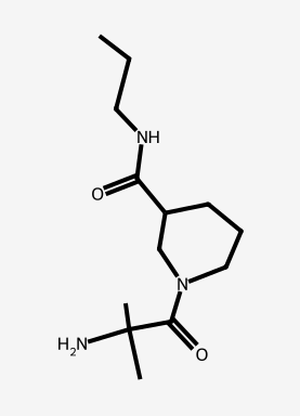 CCCNC(=O)C1CCCN(C(=O)C(C)(C)N)C1